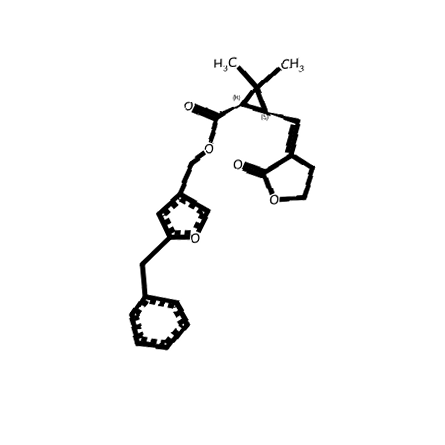 CC1(C)[C@H](C(=O)OCc2coc(Cc3ccccc3)c2)[C@@H]1C=C1CCOC1=O